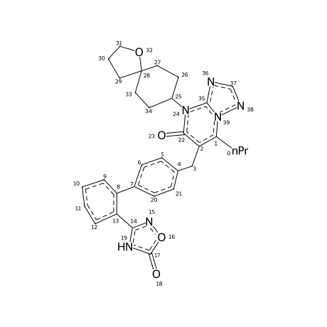 CCCc1c(Cc2ccc(-c3ccccc3-c3noc(=O)[nH]3)cc2)c(=O)n(C2CCC3(CCCO3)CC2)c2ncnn12